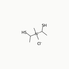 CC(S)[N+](C)(C)C(C)S.[Cl-]